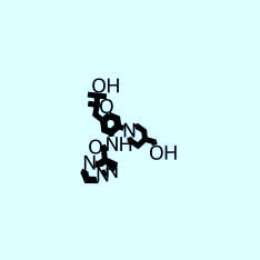 CC(C)(O)C1(C)Cc2cc(NC(=O)c3cnn4cccnc34)c(N3CCC(CO)CC3)cc2O1